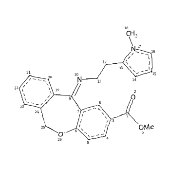 COC(=O)c1ccc2c(c1)C(=NCCc1cccn1C)c1ccccc1CO2